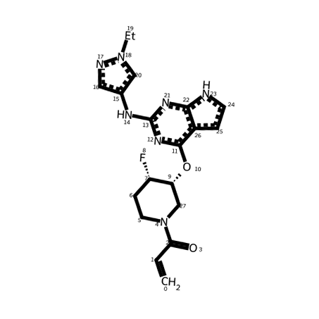 C=CC(=O)N1CC[C@H](F)[C@H](Oc2nc(Nc3cnn(CC)c3)nc3[nH]ccc23)C1